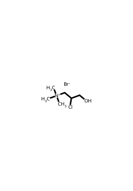 C[N+](C)(C)CC(Cl)CO.[Br-]